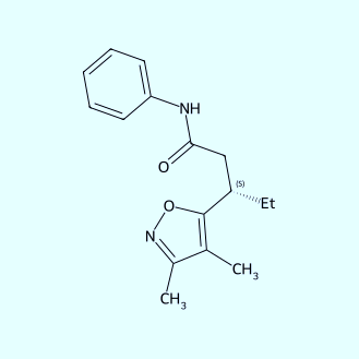 CC[C@@H](CC(=O)Nc1ccccc1)c1onc(C)c1C